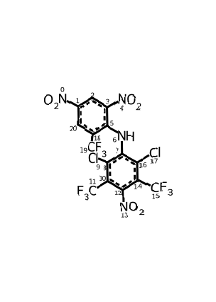 O=[N+]([O-])c1cc([N+](=O)[O-])c(Nc2c(Cl)c(C(F)(F)F)c([N+](=O)[O-])c(C(F)(F)F)c2Cl)c(C(F)(F)F)c1